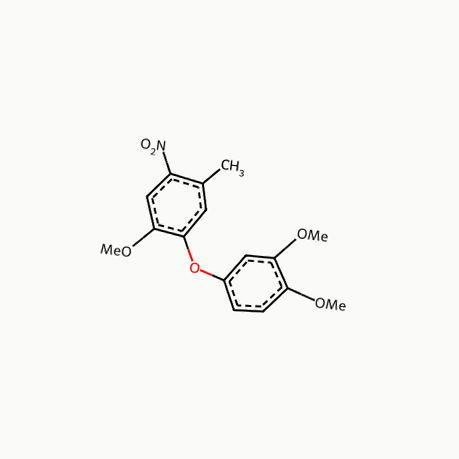 COc1ccc(Oc2cc(C)c([N+](=O)[O-])cc2OC)cc1OC